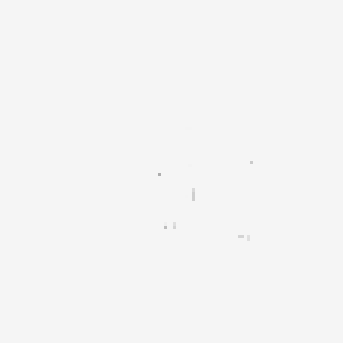 [2H]C([2H])([2H])C(=NNS(=O)(=O)c1ccc(C)cc1)c1cc(Br)ccn1